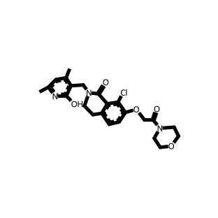 Cc1cc(C)c(CN2CCc3ccc(OCC(=O)N4CCOCC4)c(Cl)c3C2=O)c(O)n1